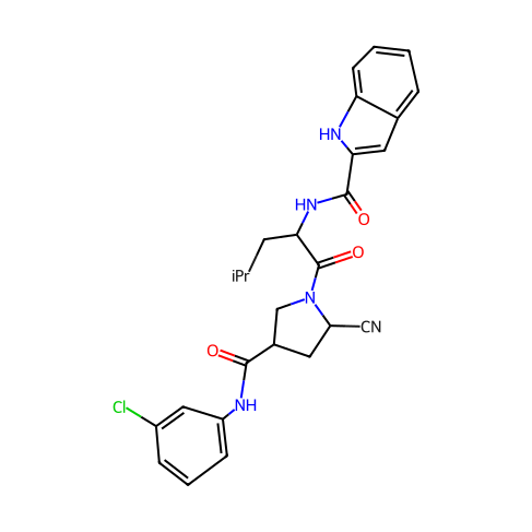 CC(C)CC(NC(=O)c1cc2ccccc2[nH]1)C(=O)N1CC(C(=O)Nc2cccc(Cl)c2)CC1C#N